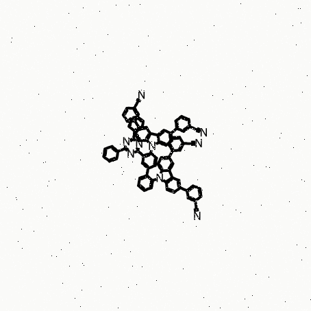 N#Cc1cccc(-c2ccc3c(c2)c2cc(-c4cccc(C#N)c4)ccc2n3-c2ccccc2-c2ccc(-n3c4ccc(-c5cccc(C#N)c5)cc4c4cc(-c5cccc(C#N)c5)ccc43)c(-c3nc(-c4ccccc4)nc(-c4ccccc4)n3)c2)c1